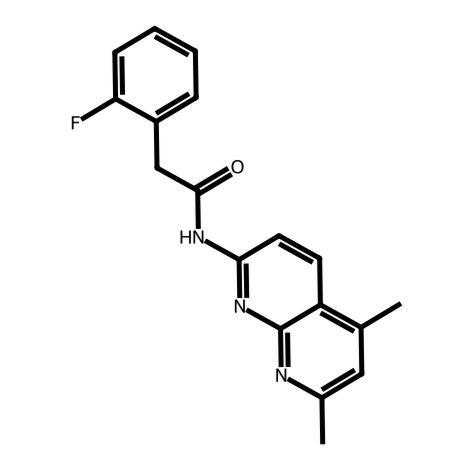 Cc1cc(C)c2ccc(NC(=O)Cc3ccccc3F)nc2n1